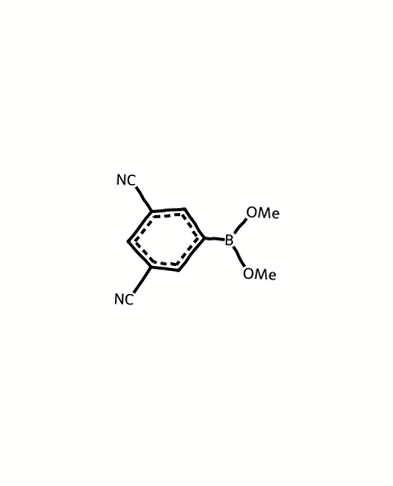 COB(OC)c1cc(C#N)cc(C#N)c1